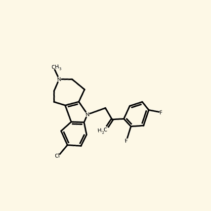 C=C(Cn1c2c(c3cc(Cl)ccc31)CCN(C)CC2)c1ccc(F)cc1F